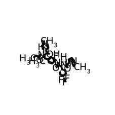 CCC(=O)N[C@@H](C(O)N1CCN(C)CC1)[C@@H](C)c1ccc(NC(=O)[C@@H](NC(=O)c2ccnn2CC)[C@H]2CC[C@H](C(F)(F)F)CC2)c(F)c1